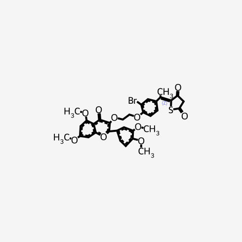 COc1cc(OC)c2c(=O)c(OCCOc3ccc(/C(C)=C4\SC(=O)CC4=O)cc3Br)c(-c3ccc(OC)c(OC)c3)oc2c1